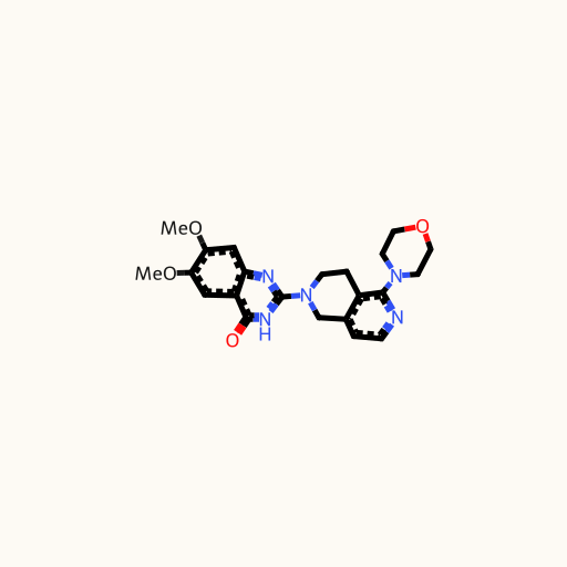 COc1cc2nc(N3CCc4c(ccnc4N4CCOCC4)C3)[nH]c(=O)c2cc1OC